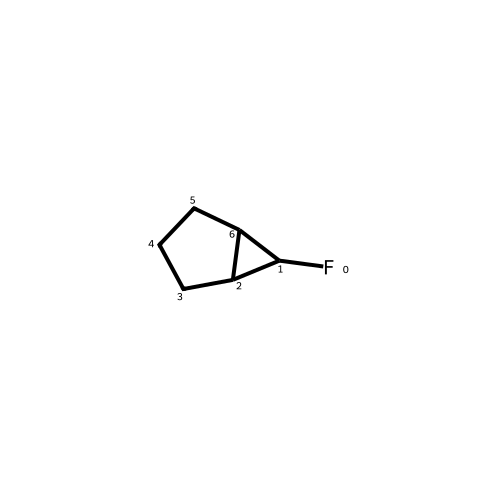 FC1C2CCCC12